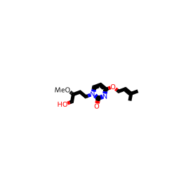 COC(CO)CCn1ccc(OCC=C(C)C)nc1=O